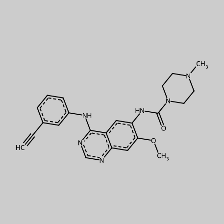 C#Cc1cccc(Nc2ncnc3cc(OC)c(NC(=O)N4CCN(C)CC4)cc23)c1